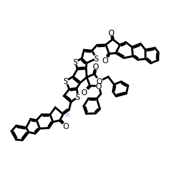 O=C1/C(=C/c2cc3sc4c(c3s2)C(C(=O)OCc2ccccc2)(C(=O)OCc2ccccc2)c2c-4sc3cc(C=C4C(=O)c5cc6cc7ccccc7cc6cc5C4=O)sc23)Cc2cc3cc4ccccc4cc3cc21